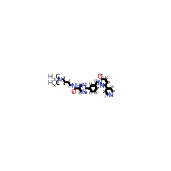 CN(C)CCCCNC(=O)c1cnc(-c2cccc(Cn3nc(-c4ccncc4)ccc3=O)c2)nc1